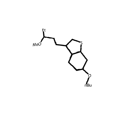 CCCCOC1CCC2C(CCC(CC)OC)CSC2C1